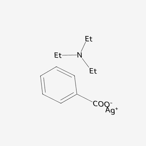 CCN(CC)CC.O=C([O-])c1ccccc1.[Ag+]